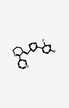 Fc1ccc(-c2cccc(C=C3CCCN=C3c3cccnc3)c2)c(F)c1